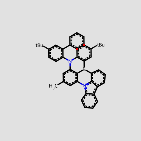 Cc1cc2c3c(c1)-n1c4ccccc4c4cccc(c41)B3c1cc(C(C)(C)C)ccc1N2c1ccc(C(C)(C)C)cc1-c1ccccc1